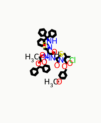 COc1ccc(COC(=O)C2=C(CCl)CS[C@H]3C(NC(=O)C(=NO[C@@H](C)C(=O)OC(c4ccccc4)c4ccccc4)c4csc(NC(c5ccccc5)(c5ccccc5)c5ccccc5)n4)C(=O)N23)cc1